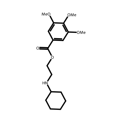 COc1cc(C(=O)OCCNC2CCCCC2)cc(OC)c1OC